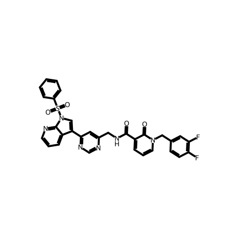 O=C(NCc1cc(-c2cn(S(=O)(=O)c3ccccc3)c3ncccc23)ncn1)c1cccn(Cc2ccc(F)c(F)c2)c1=O